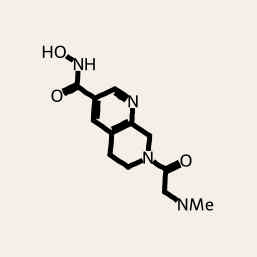 CNCC(=O)N1CCc2cc(C(=O)NO)cnc2C1